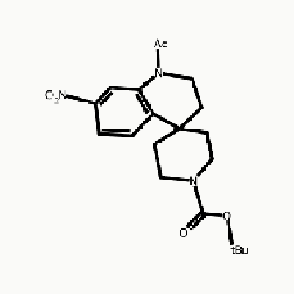 CC(=O)N1CCC2(CCN(C(=O)OC(C)(C)C)CC2)c2ccc([N+](=O)[O-])cc21